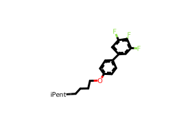 CCCC(C)CCCCOc1ccc(-c2cc(F)c(F)c(F)c2)cc1